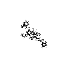 Cc1cc(OCc2ccccc2Br)c(C)c2c1CCC1C(CCSCc3ccccc3)C(=O)O[C@@H]21